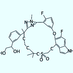 Cn1nc2nc1-c1cc(ccc1F)Oc1c(F)cc3[nH]ccc3c1CCS(=O)(=O)CC(C)(C)CCCC2(C)c1cccc(C(O)CO)c1